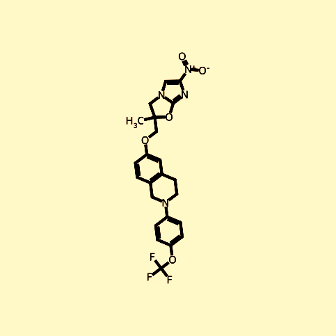 CC1(COc2ccc3c(c2)CCN(c2ccc(OC(F)(F)F)cc2)C3)Cn2cc([N+](=O)[O-])nc2O1